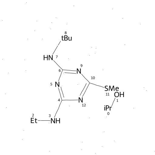 CC(C)O.CCNc1nc(NC(C)(C)C)nc(SC)n1